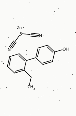 CCc1ccccc1-c1ccc(O)cc1.N#CSC#N.[Zn]